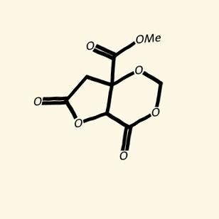 COC(=O)C12CC(=O)OC1C(=O)OCO2